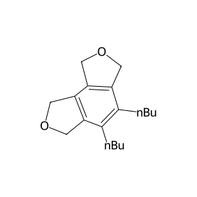 CCCCc1c(CCCC)c2c(c3c1COC3)COC2